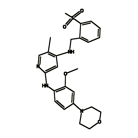 COc1cc(N2CCOCC2)ccc1Nc1cc(NCc2ccccc2S(C)(=O)=O)c(C)cn1